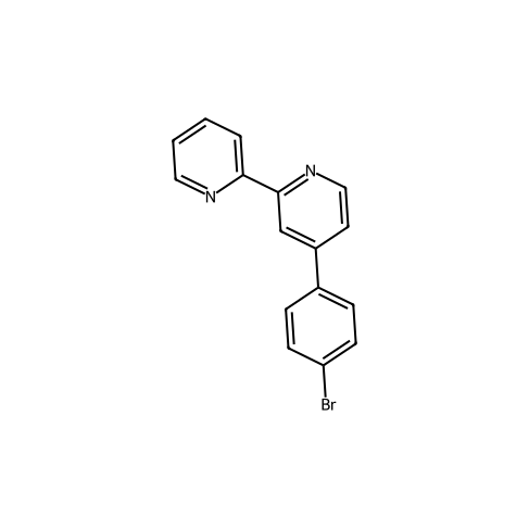 Brc1ccc(-c2ccnc(-c3ccccn3)c2)cc1